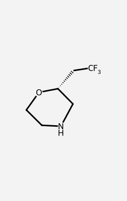 FC(F)(F)C[C@@H]1CNCCO1